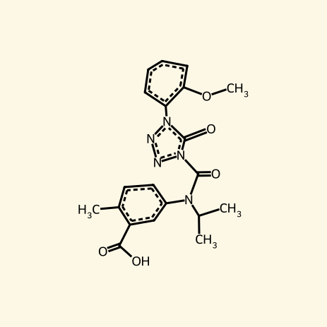 COc1ccccc1-n1nnn(C(=O)N(c2ccc(C)c(C(=O)O)c2)C(C)C)c1=O